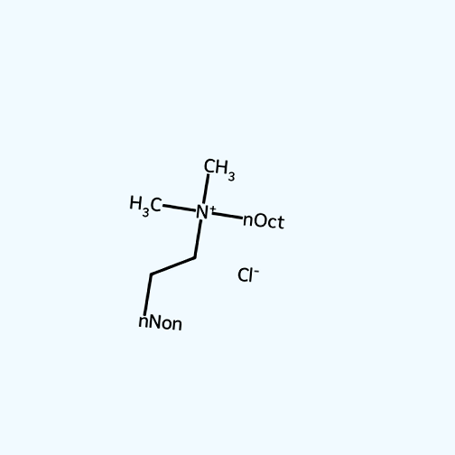 CCCCCCCCCCC[N+](C)(C)CCCCCCCC.[Cl-]